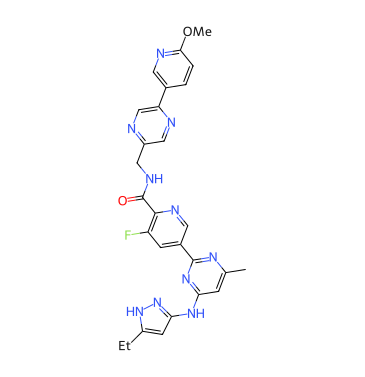 CCc1cc(Nc2cc(C)nc(-c3cnc(C(=O)NCc4cnc(-c5ccc(OC)nc5)cn4)c(F)c3)n2)n[nH]1